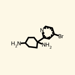 NC1CCC(N)(c2cc(Br)ccn2)CC1